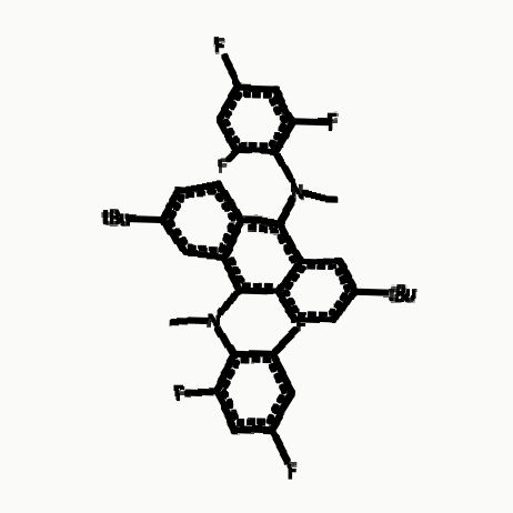 CN(c1c(F)cc(F)cc1F)c1c2ccc(C(C)(C)C)cc2c(N(C)c2c(F)cc(F)cc2F)c2ccc(C(C)(C)C)cc12